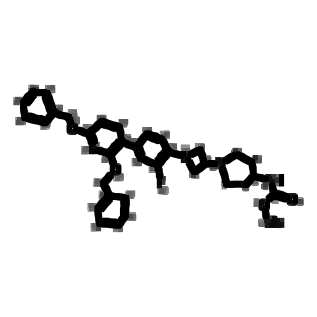 CC(C)(C)OC(=O)NC1CCN(C2CN(c3ccc(-c4ccc(OCc5ccccc5)nc4OCc4ccccc4)cc3F)C2)CC1